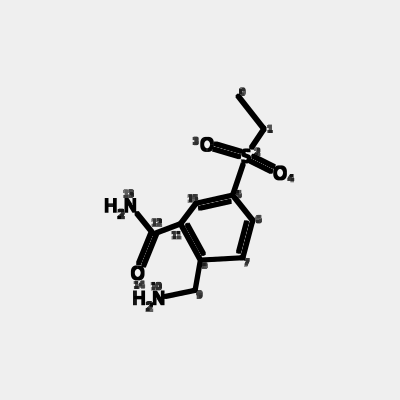 CCS(=O)(=O)c1ccc(CN)c(C(N)=O)c1